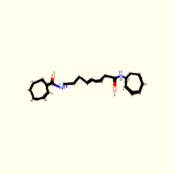 O=C(CCCCCCCNC(=O)C1CCCCCCC1)NC1CCCCCC1